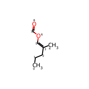 CCCC(C)=CO[C]=O